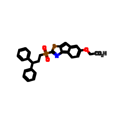 O=C(O)COC1=CCC2=c3nc(S(=O)(=O)CCC(c4ccccc4)c4ccccc4)sc3=CC2=C1